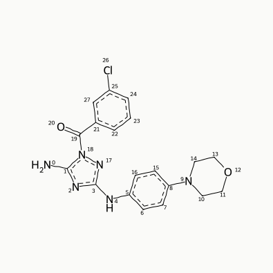 Nc1nc(Nc2ccc(N3CCOCC3)cc2)nn1C(=O)c1cccc(Cl)c1